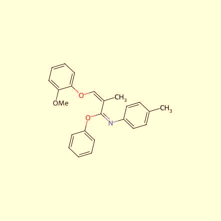 COc1ccccc1OC=C(C)C(=Nc1ccc(C)cc1)Oc1ccccc1